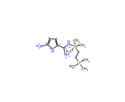 CS(C)(C)CC[SH](C)(C)(C)NC(N)c1ccc(N)[nH]1